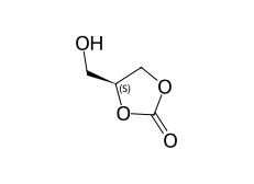 O=C1OC[C@H](CO)O1